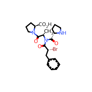 C[C@@H](C(=O)N1CCC[C@H]1C(=O)O)N(C(=O)[C@H](Br)Cc1ccccc1)C(=O)[C@@H]1CCCN1